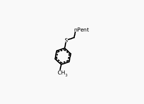 CCCCCCSc1ccc(C)cc1